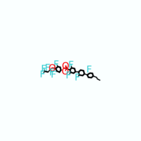 CCCc1ccc(-c2ccc(-c3cc(F)c(C(=O)Oc4cc(F)c(OC(F)(F)C=C(F)F)c(F)c4)c(F)c3)c(F)c2)c(F)c1